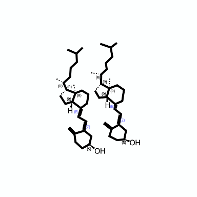 C=C1CC[C@H](O)C/C1=C/C=C1\CCC[C@]2(C)[C@@H]([C@H](C)CCCC(C)C)CC[C@@H]12.C=C1CC[C@H](O)C/C1=C/C=C1\CCC[C@]2(C)[C@@H]([C@H](C)CCCC(C)C)CC[C@@H]12